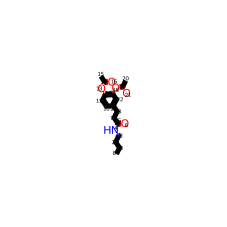 CCCCNC(=O)CCc1ccc(OC(C)=O)c(OC(C)=O)c1